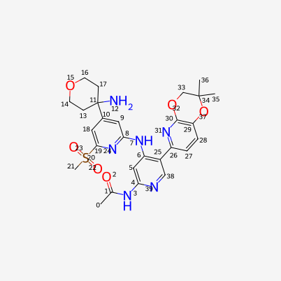 CC(=O)Nc1cc(Nc2cc(C3(N)CCOCC3)cc(S(C)(=O)=O)n2)c(-c2ccc3c(n2)OCC(C)(C)O3)cn1